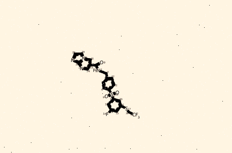 O=C(NCc1ccc(S(=O)(=O)c2cc(F)cc(SCC(F)(F)F)c2)cc1)c1cnc2nccn2c1